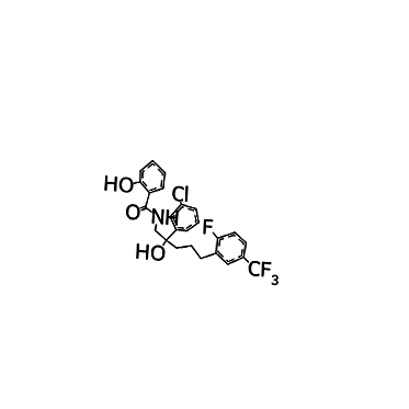 O=C(NCC(O)(CCCc1cc(C(F)(F)F)ccc1F)c1cccc(Cl)c1)c1ccccc1O